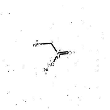 CCCC[PH](=O)O.[Ni]